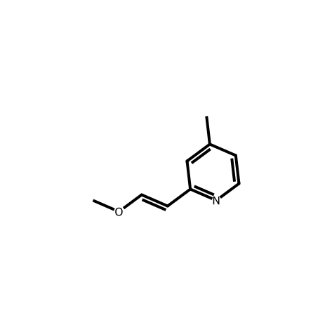 COC=Cc1cc(C)ccn1